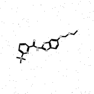 CCOCOc1ccc2nc(NC(=O)c3cccc([N+](C)(C)C)n3)sc2c1